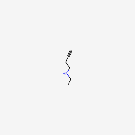 C#CCCNCC